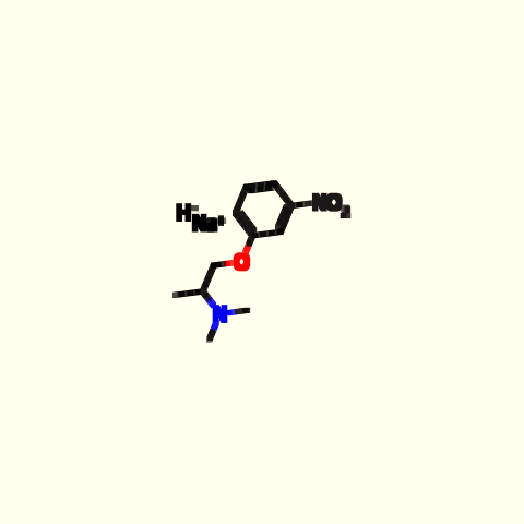 CC(COc1cccc([N+](=O)[O-])c1)N(C)C.[H-].[Na+]